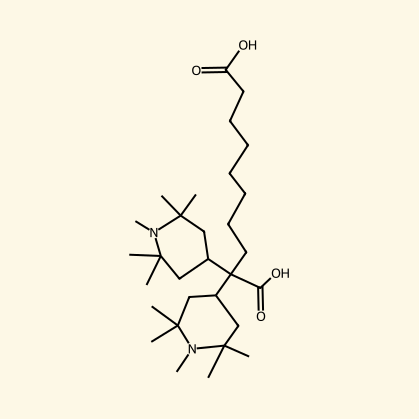 CN1C(C)(C)CC(C(CCCCCCCC(=O)O)(C(=O)O)C2CC(C)(C)N(C)C(C)(C)C2)CC1(C)C